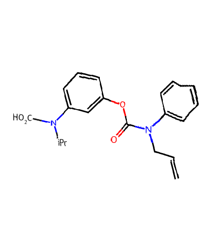 C=CCN(C(=O)Oc1cccc(N(C(=O)O)C(C)C)c1)c1ccccc1